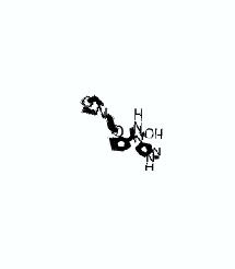 OC1NCC(c2ccccc2OCCN2CCOCC2)N1c1ccc2[nH]cnc2c1